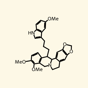 COc1ccc2[nH]cc(CCCC3c4ccc(OC)c(OC)c4CN4CCc5cc6c(cc5C34)OCO6)c2c1